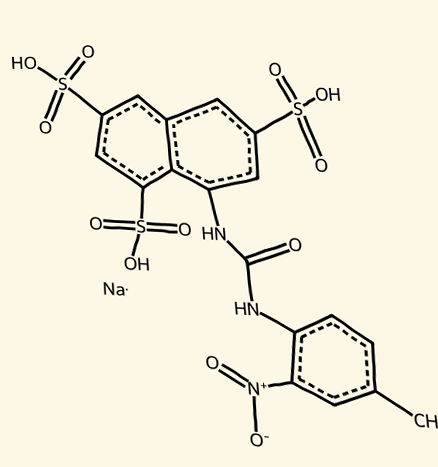 Cc1ccc(NC(=O)Nc2cc(S(=O)(=O)O)cc3cc(S(=O)(=O)O)cc(S(=O)(=O)O)c23)c([N+](=O)[O-])c1.[Na]